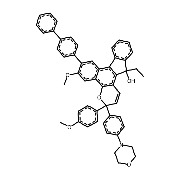 CCC1(O)c2ccccc2-c2c1c1c(c3cc(OC)c(-c4ccc(-c5ccccc5)cc4)cc23)OC(c2ccc(OC)cc2)(c2ccc(N3CCOCC3)cc2)C=C1